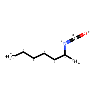 [2H]C(CCCC[CH2])N=C=O